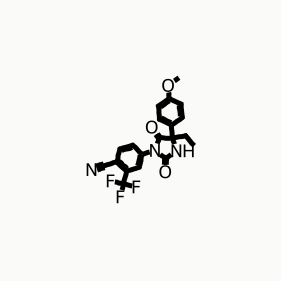 CCC1(c2ccc(OC)cc2)NC(=O)N(c2ccc(C#N)c(C(F)(F)F)c2)C1=O